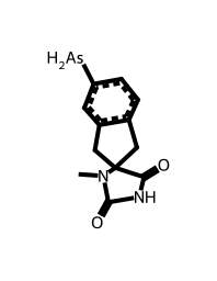 CN1C(=O)NC(=O)C12Cc1ccc([AsH2])cc1C2